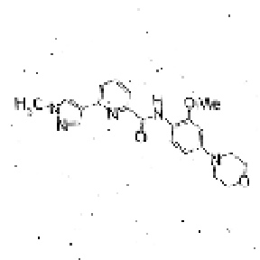 COc1cc(N2CCOCC2)ccc1NC(=O)c1cccc(-c2cnn(C)c2)n1